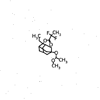 CCC1(OC(=O)C(C)(F)F)C2CC3CC1CC(OC(C)OC)(C3)C2